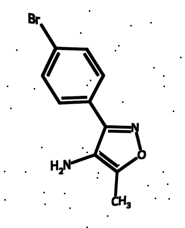 Cc1onc(-c2ccc(Br)cc2)c1N